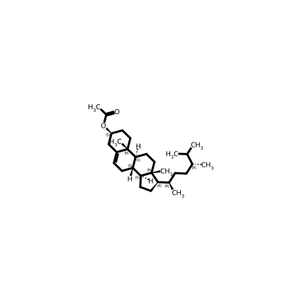 CC(=O)O[C@H]1CC[C@@]2(C)C(=CC[C@H]3[C@@H]4CC[C@H]([C@H](C)CC[C@@H](C)C(C)C)[C@@]4(C)CC[C@@H]32)C1